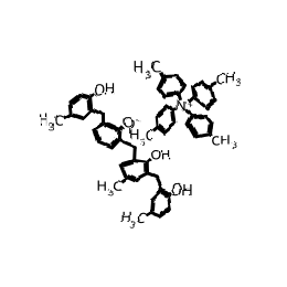 Cc1ccc(O)c(Cc2cccc(Cc3cc(C)cc(Cc4cc(C)ccc4O)c3O)c2[O-])c1.Cc1ccc([N+](c2ccc(C)cc2)(c2ccc(C)cc2)c2ccc(C)cc2)cc1